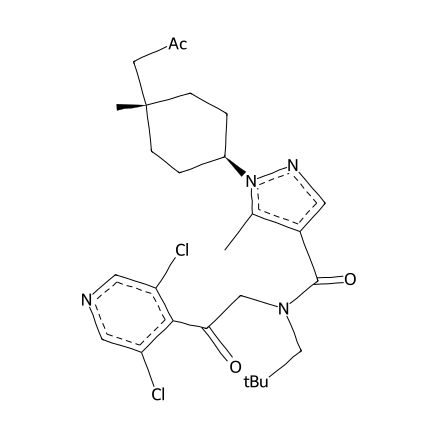 CC(=O)C[C@]1(C)CC[C@@H](n2ncc(C(=O)N(CC(=O)c3c(Cl)cncc3Cl)CC(C)(C)C)c2C)CC1